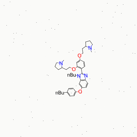 CCCCc1ccc(Oc2ccc3nc(-c4ccc(OCCC5CCCN5C)cc4OCCC4CCCN4C)n(CCCC)c3c2)cc1